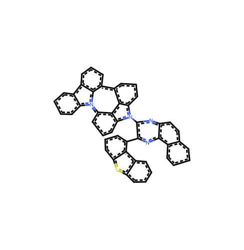 c1ccc2c(c1)ccc1nc(-n3c4cccc5c6cccc7c8ccccc8n(c8cccc3c8c54)c67)c(-c3cccc4sc5ccccc5c34)nc12